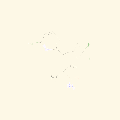 CC(C)(C[C@H](c1cccc(Br)n1)C1CC(F)(F)C1)[S+](N)[O-]